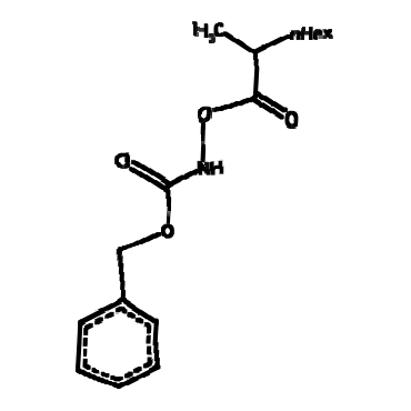 CCCCCCC(C)C(=O)ONC(=O)OCc1ccccc1